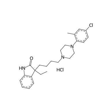 CCC1(CCCCN2CCN(c3ccc(Cl)cc3C)CC2)C(=O)Nc2ccccc21.Cl